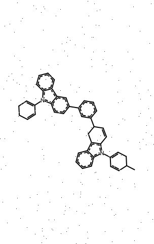 CC1C=CC(n2c3c(c4ccccc42)CC(c2cccc(-c4ccc5c(c4)c4ccccc4n5C4=CCCC=C4)c2)C=C3)=CC1